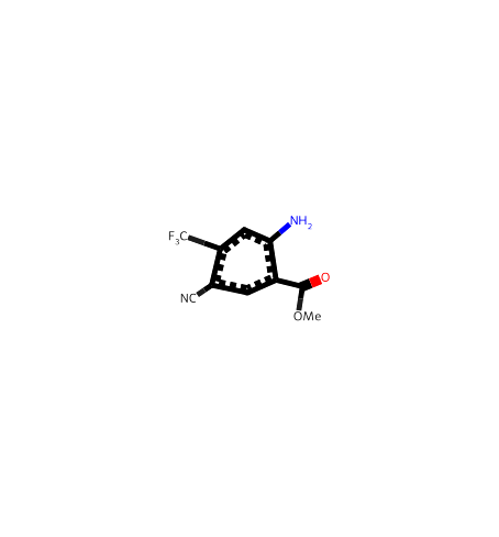 COC(=O)c1cc(C#N)c(C(F)(F)F)cc1N